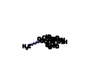 C/C=C/C=C/C=C/C(=O)O[C@@H]1C=CC[C@H]2C(=O)c3c(O)c4c5c(c3OC12)OCO[C@@H]5C[C@@H]1C(=O)c2cc(S)[nH]c(=O)c2C(=O)[C@]41O